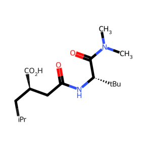 CC(C)C[C@H](CC(=O)N[C@H](C(=O)N(C)C)C(C)(C)C)C(=O)O